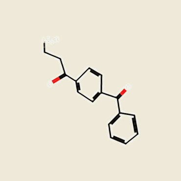 CCOC(=O)CCC(=O)c1ccc(C(=O)c2ccccc2)cc1